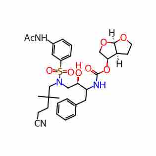 CC(=O)Nc1cccc(S(=O)(=O)N(C[C@@H](O)C(Cc2ccccc2)NC(=O)O[C@H]2CO[C@H]3OCC[C@H]32)CC(C)(C)CCC#N)c1